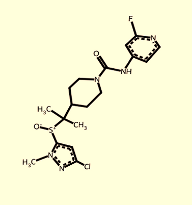 Cn1nc(Cl)cc1[S+]([O-])C(C)(C)C1CCN(C(=O)Nc2ccnc(F)c2)CC1